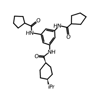 CC(C)[C@H]1CC[C@@H](C(=O)Nc2cc(NC(=O)C3CCCC3)cc(NC(=O)C3CCCC3)c2)CC1